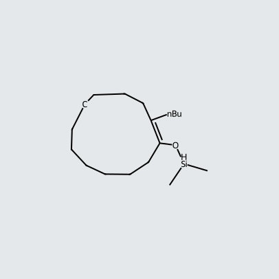 CCCCC1=C(O[SiH](C)C)CCCCCCCCCC1